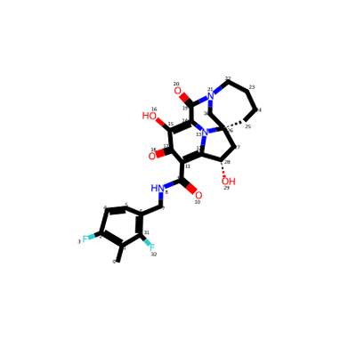 Cc1c(F)ccc(CNC(=O)c2c3n4c(c(O)c2=O)C(=O)N2CCCC[C@@]4(C[C@@H]3O)C2)c1F